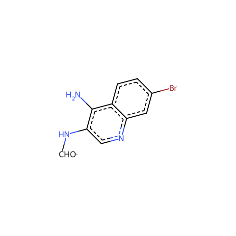 Nc1c(N[C]=O)cnc2cc(Br)ccc12